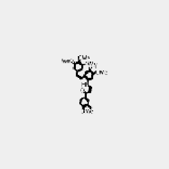 COc1cc(N/C=C\C(=O)c2ccc(OC)c(F)c2)c(/C=C\c2cc(OC)c(OC)c(OC)c2)cc1O